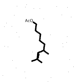 CC(=O)OCCCCCC(C)C=C(C)C